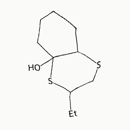 CCC1CSC2CCCCC2(O)S1